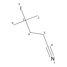 CC(C)(I)CCC#N